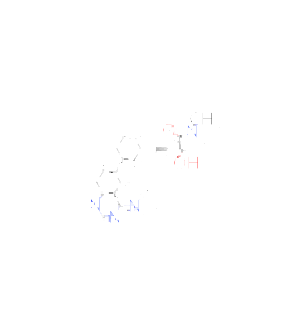 CN1CC[C@@](O)(C#Cc2cccc(-c3ccc4ncnc(N5CCC5)c4c3)c2)C1=O